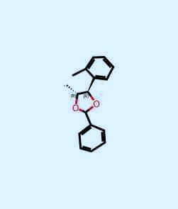 [CH2][C@H]1OC(c2ccccc2)O[C@@H]1c1ccccc1C